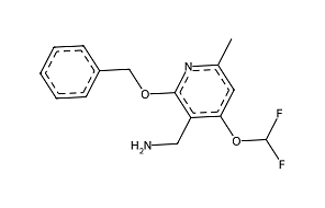 Cc1cc(OC(F)F)c(CN)c(OCc2ccccc2)n1